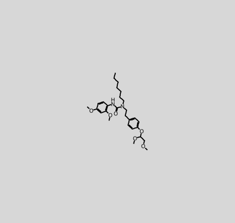 CCCCCCCN(CCc1ccc(OC(COC)OC)cc1)C(=O)Nc1ccc(OC)cc1OC